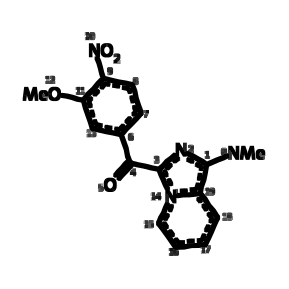 CNc1nc(C(=O)c2ccc([N+](=O)[O-])c(OC)c2)n2ccccc12